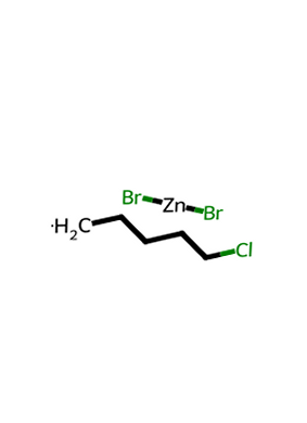 [Br][Zn][Br].[CH2]CCCCCl